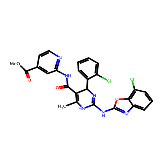 COC(=O)c1ccnc(NC(=O)C2=C(C)NC(Nc3nc4cccc(Cl)c4o3)=NC2c2ccccc2Cl)c1